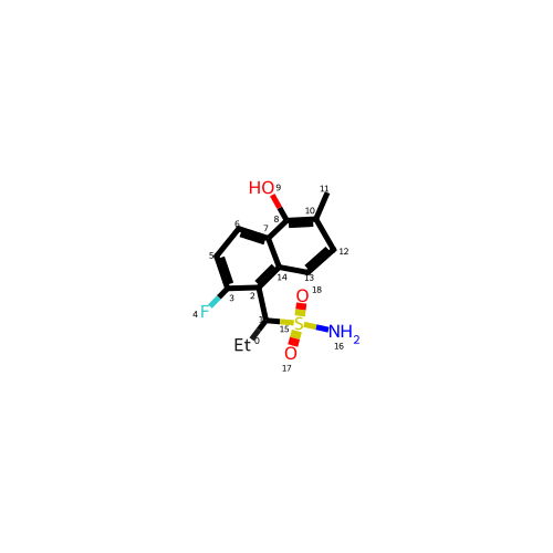 CCC(c1c(F)ccc2c(O)c(C)ccc12)S(N)(=O)=O